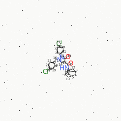 O=C(NC12CC3CC(CC(C3)C1)C2)c1cn(Cc2ccc(Cl)cc2)n(-c2ccc(Cl)cc2)c1=O